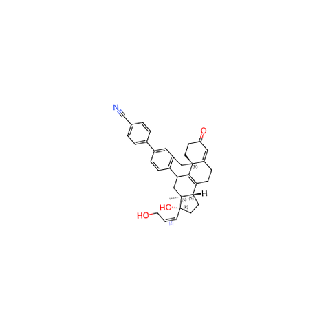 C[C@]12CC3C4=C(CCC5=CC(=O)CC[C@@]54Cc4cc(-c5ccc(C#N)cc5)ccc43)[C@@H]1CC[C@@]2(O)/C=C\CO